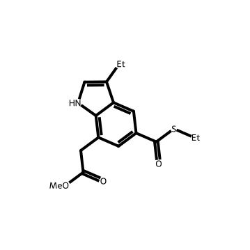 CCSC(=O)c1cc(CC(=O)OC)c2[nH]cc(CC)c2c1